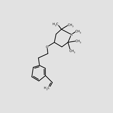 C=Cc1cccc(CCOC2CC(C)(C)N(C)C(C)(C)C2)c1